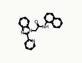 O=C(Cn1c(-c2ccccn2)nc2ccccc21)Nc1cccc2ccccc12